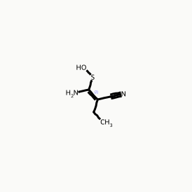 CC/C(C#N)=C(\N)SO